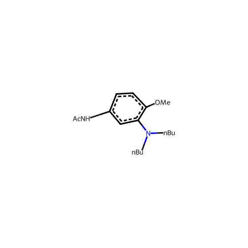 CCCCN(CCCC)c1cc(NC(C)=O)ccc1OC